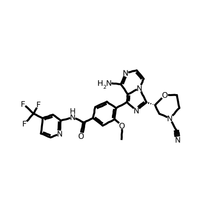 COc1cc(C(=O)Nc2cc(C(F)(F)F)ccn2)ccc1-c1nc([C@H]2CN(C#N)CCO2)n2ccnc(N)c12